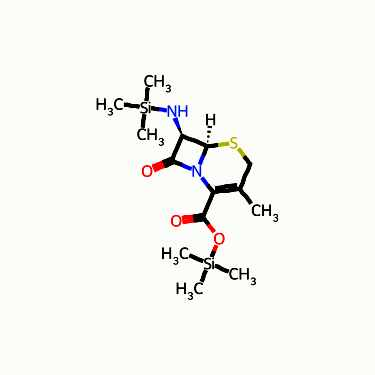 CC1=C(C(=O)O[Si](C)(C)C)N2C(=O)[C@@H](N[Si](C)(C)C)[C@H]2SC1